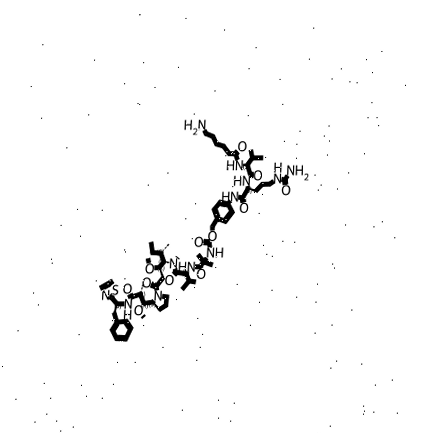 CC[C@H](C)[C@@H]([C@@H](CC(=O)N1CCC[C@H]1[C@H](OC)[C@@H](C)C(=O)N[C@@H](Cc1ccccc1)c1nccs1)OC)N(C)C(=O)[C@@H](NC(=O)C(C)(C)NC(=O)OCc1ccc(NC(=O)[C@H](CCCNC(N)=O)NC(=O)[C@@H](NC(=O)CCCCCN)C(C)C)cc1)C(C)C